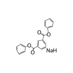 O=C(Oc1ccccc1)c1cccc(C(=O)Oc2ccccc2)c1.[NaH]